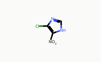 O=[N+]([O-])c1[nH]cnc1Cl